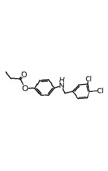 CCC(=O)Oc1ccc(NCc2ccc(Cl)c(Cl)c2)cc1